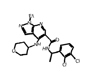 CCn1ncc2c(NC3CCOCC3)c(C(=O)NC(C)c3cccc(Cl)c3Cl)cnc21